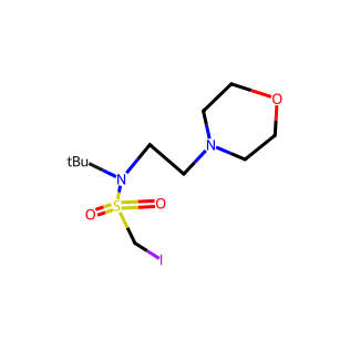 CC(C)(C)N(CCN1CCOCC1)S(=O)(=O)CI